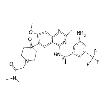 COc1cc2nc(C)nc(N[C@H](C)c3cc(N)cc(C(F)(F)F)c3)c2cc1P1(=O)CCN(CC(=O)N(C)C)CC1